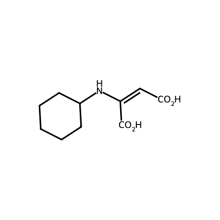 O=C(O)/C=C(/NC1CCCCC1)C(=O)O